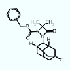 CC1(C)C(=O)N(C2[C@H]3CC4C[C@H]2CC(Cl)(C4)C3)N1C(=O)OCc1ccccc1